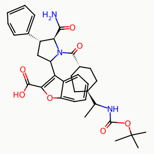 CC(NC(=O)OC(C)(C)C)[C@H]1CC[C@H](C(=O)N2C(c3c(C(=O)O)oc4ccccc34)C[C@H](c3ccccc3)[C@H]2C(N)=O)CC1